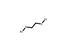 CCSCCSC(C)=O